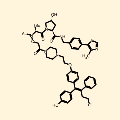 CC(=O)N(OCC(=O)N1CCN(CCOc2ccc(C(=C(CCCl)c3ccccc3)c3ccc(O)cc3)cc2)CC1)[C@H](C(=O)N1C[C@H](O)C[C@H]1C(=O)NCc1ccc(-c2scnc2C)cc1)C(C)(C)C